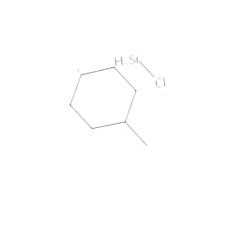 CC1CCCCC1.[SiH3]Cl